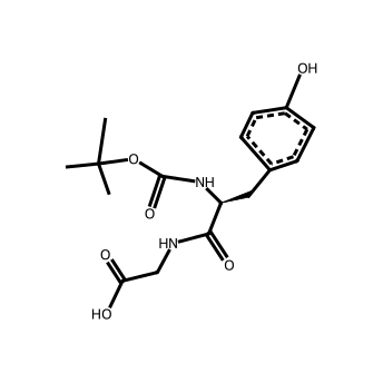 CC(C)(C)OC(=O)N[C@@H](Cc1ccc(O)cc1)C(=O)NCC(=O)O